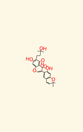 CC(C)(O)CCc1c(O)cc2occ(-c3cc4c(cc3O)OC(C)(C)C=C4)c(=O)c2c1O